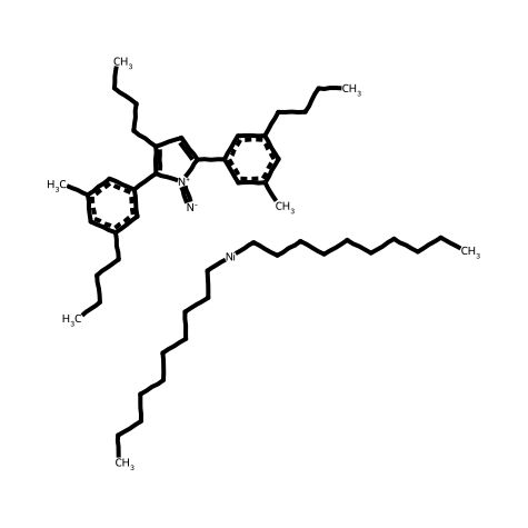 CCCCC1=C(c2cc(C)cc(CCCC)c2)[N+](=[N-])C(c2cc(C)cc(CCCC)c2)=C1.CCCCCCCCC[CH2][Ni][CH2]CCCCCCCCC